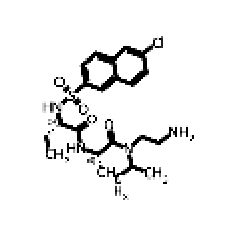 CC[C@H](NS(=O)(=O)c1ccc2cc(Cl)ccc2c1)C(=O)N[C@@H](C)C(=O)N(CCN)C(C)C